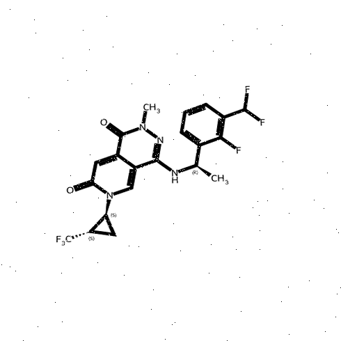 C[C@@H](Nc1nn(C)c(=O)c2cc(=O)n([C@H]3C[C@@H]3C(F)(F)F)cc12)c1cccc(C(F)F)c1F